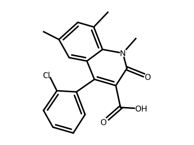 Cc1cc(C)c2c(c1)c(-c1ccccc1Cl)c(C(=O)O)c(=O)n2C